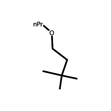 [CH2]CCOCCC(C)(C)C